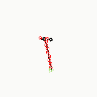 O=Cc1ccc(OCc2ccccc2)c(OCCOCCOCCOCCOCCOCCOCCOCC(F)(F)F)c1